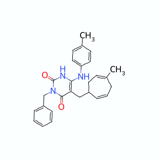 CC1=CCC(Cc2c(Nc3ccc(C)cc3)[nH]c(=O)n(Cc3ccccc3)c2=O)C=CC1